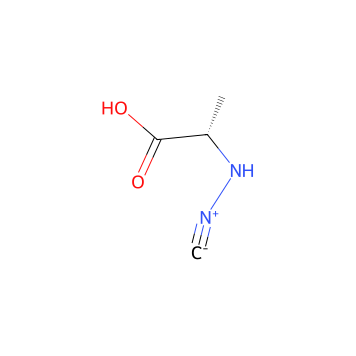 [C-]#[N+]N[C@@H](C)C(=O)O